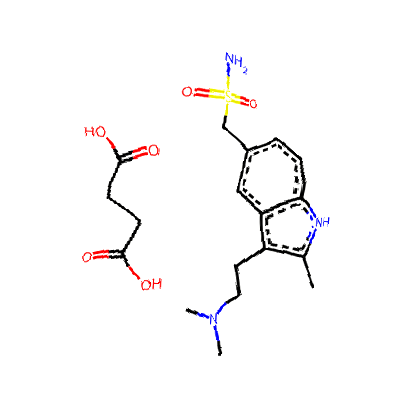 Cc1[nH]c2ccc(CS(N)(=O)=O)cc2c1CCN(C)C.O=C(O)CCC(=O)O